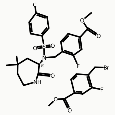 COC(=O)c1ccc(CBr)c(F)c1.COC(=O)c1ccc(CN([C@@H]2CC(C)(C)CCNC2=O)S(=O)(=O)c2ccc(Cl)cc2)c(F)c1